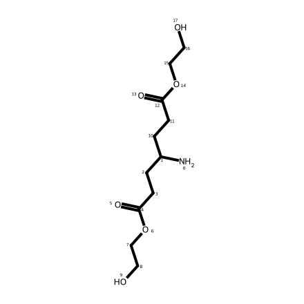 NC(CCC(=O)OCCO)CCC(=O)OCCO